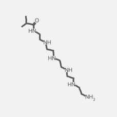 CC(C)C(=O)NCCNCCNCCNCCNCCN